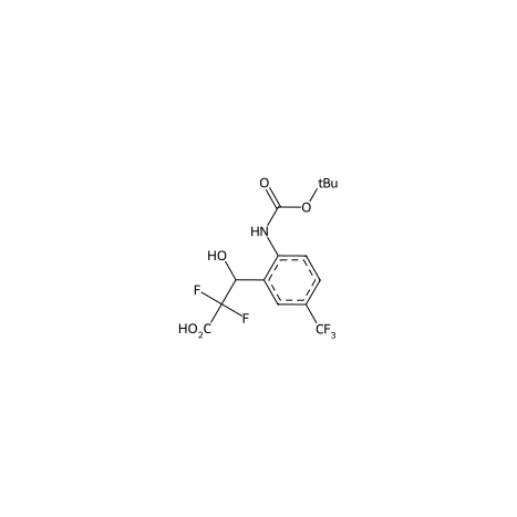 CC(C)(C)OC(=O)Nc1ccc(C(F)(F)F)cc1C(O)C(F)(F)C(=O)O